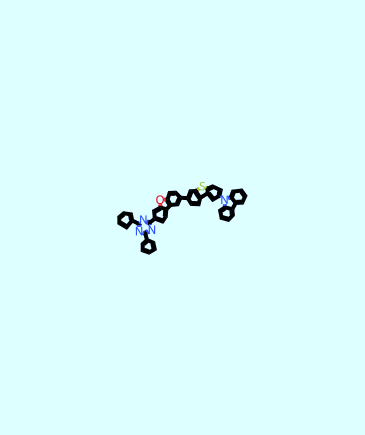 c1ccc(-c2nc(-c3ccccc3)nc(-c3ccc4c(c3)oc3ccc(-c5ccc6c(c5)sc5ccc(-n7c8ccccc8c8ccccc87)cc56)cc34)n2)cc1